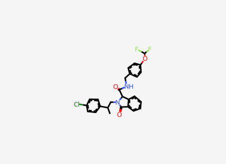 CC(CN1C(=O)c2ccccc2C1C(=O)NCc1ccc(OC(F)F)cc1)c1ccc(Cl)cc1